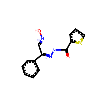 O=C(N/N=C(\C=N\O)c1ccccc1)c1cccs1